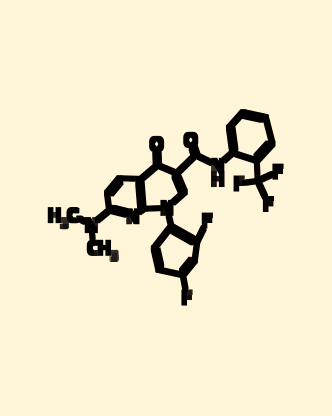 CN(C)c1ccc2c(=O)c(C(=O)Nc3ccccc3C(F)(F)F)cn(-c3ccc(F)cc3F)c2n1